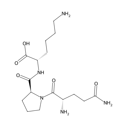 NCCCC[C@H](NC(=O)[C@@H]1CCCN1C(=O)[C@@H](N)CCC(N)=O)C(=O)O